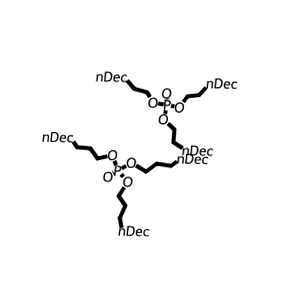 CCCCCCCCCCCCCOP(=O)(OCCCCCCCCCCCCC)OCCCCCCCCCCCCC.CCCCCCCCCCCCOP(=O)(OCCCCCCCCCCCC)OCCCCCCCCCCCC